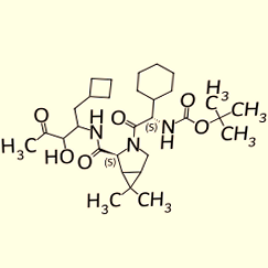 CC(=O)C(O)C(CC1CCC1)NC(=O)[C@@H]1C2C(CN1C(=O)[C@@H](NC(=O)OC(C)(C)C)C1CCCCC1)C2(C)C